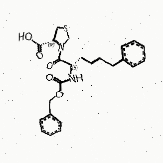 O=C(N[C@@H](CCCCc1ccccc1)C(=O)N1CSC[C@H]1C(=O)O)OCc1ccccc1